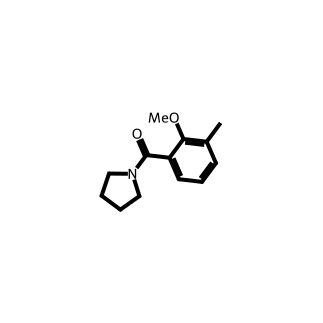 COc1c(C)cccc1C(=O)N1CCCC1